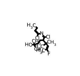 CC/C=C(Cl)\N=C(\Cl)C(CCC(C)(C)O)C(C)(C)/C=C(\C)F